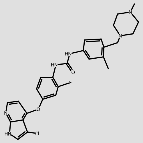 Cc1cc(NC(=O)Nc2ccc(Oc3ccnc4[nH]cc(Cl)c34)cc2F)ccc1CN1CCN(C)CC1